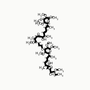 CC[C@H](OC)[C@@H](C)[C@H]1C[C@@](O)([C@@H](C)/C=C/C=C(\C)[C@@H]2O[C@H](OC)[C@@H](OC)[C@@H](OCCC[C@H](OC)[C@@H](C)[C@@H]3O[C@H]3[C@H](O)[C@@H](C)/C=C/C=C(\C)[C@@H]3O[C@H](OC)[C@H](OC)[C@@H](OC)[C@H]3OC)[C@@H]2OC)O1